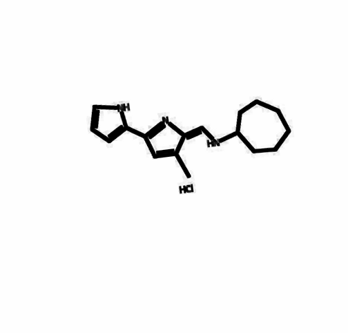 CC1=CC(c2ccc[nH]2)=N/C1=C/NC1CCCCCC1.Cl